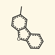 Cc1ccc2oc3ccc[c]c3c2c1